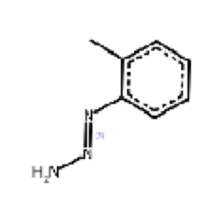 Cc1ccccc1/N=N/N